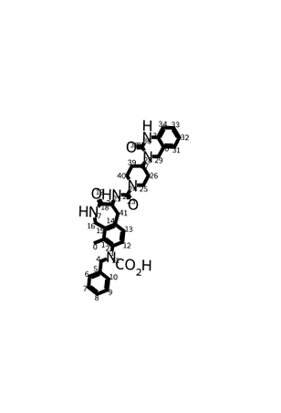 Cc1c(N(Cc2ccccc2)C(=O)O)ccc2c1CNC(=O)C(NC(=O)N1CCC(N3Cc4ccccc4NC3=O)CC1)C2